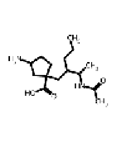 CCCC(CC1(C(=O)O)CCC(N)C1)C(C)NC(C)=O